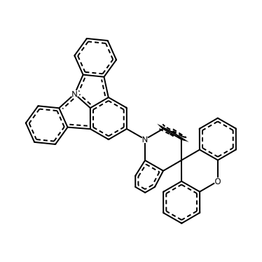 c1ccc2c(c1)Oc1ccccc1C21c2ccccc2N(c2cc3c4ccccc4n4c5ccccc5c(c2)c34)c2ccccc21